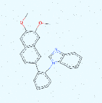 COc1cc2ccc(-c3ccccc3-n3cnc4ccccc43)cc2cc1OC